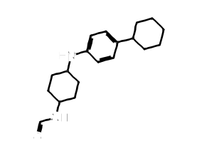 O=CNC1CCC(Nc2ccc(C3CCCCC3)cc2)CC1